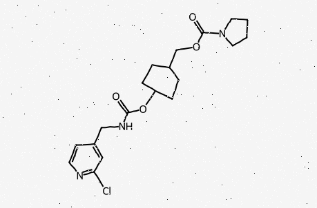 O=C(NCc1ccnc(Cl)c1)OC1CCC(COC(=O)N2CCCC2)CC1